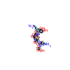 CC(C)(O/N=C(\C(=O)NC1C(=O)N2C[C@@](C(=O)O)(N3CCN(/N=C(\C(=O)NCCN)c4ccc(O)c(O)c4Cl)C3=O)S[C@H]12)c1csc(N)n1)C(=O)O